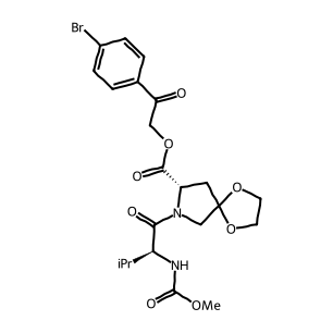 COC(=O)N[C@H](C(=O)N1CC2(C[C@H]1C(=O)OCC(=O)c1ccc(Br)cc1)OCCO2)C(C)C